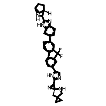 FC1(F)c2cc(-c3ccc4nc(C5NC6CC[C@H]5C6)[nH]c4c3)ccc2-c2ccc(-c3cnc(C4=N[C@]45CC4(CC4)CN5)[nH]3)cc21